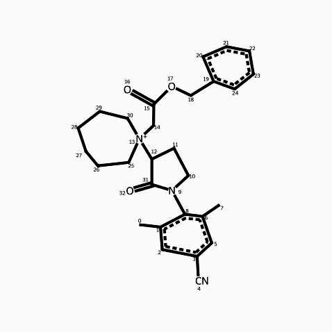 Cc1cc(C#N)cc(C)c1N1CCC([N+]2(CC(=O)OCc3ccccc3)CCCCCC2)C1=O